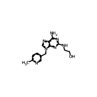 Cc1ccc(Cn2cnc3c(N)nc(NCCO)nc32)cn1